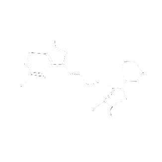 Cc1nn(C2CCCCO2)c(OCCCn2nc(Cl)c3cnc(Cl)nc32)c1[N+](=O)[O-]